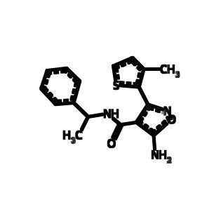 Cc1ccsc1-c1noc(N)c1C(=O)NC(C)c1ccccc1